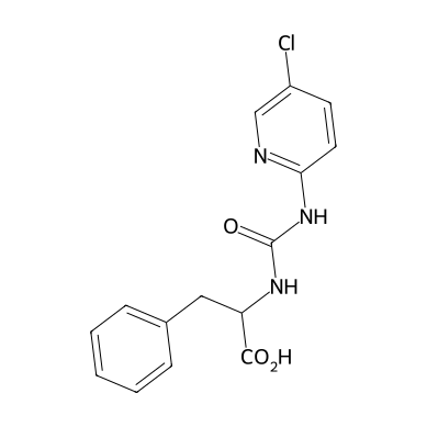 O=C(Nc1ccc(Cl)cn1)NC(Cc1ccccc1)C(=O)O